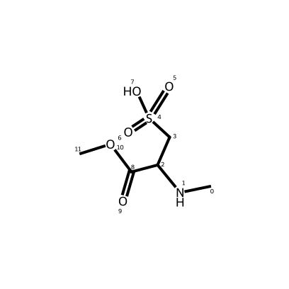 CNC(CS(=O)(=O)O)C(=O)OC